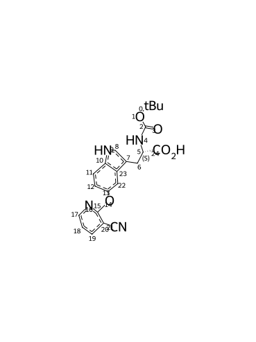 CC(C)(C)OC(=O)N[C@@H](Cc1c[nH]c2ccc(Oc3ncccc3C#N)cc12)C(=O)O